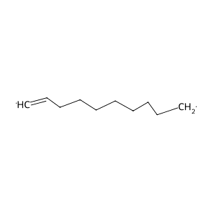 [CH]=CCCCCCCC[CH2]